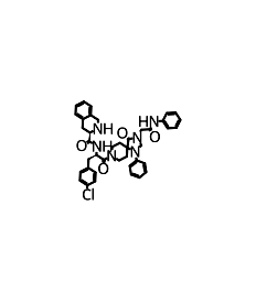 O=C(CN1CN(c2ccccc2)C2(CCN(C(=O)[C@@H](Cc3ccc(Cl)cc3)NC(=O)[C@H]3Cc4ccccc4CN3)CC2)C1=O)Nc1ccccc1